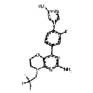 Cc1cn(-c2ccc(-c3nc(N)nc4c3OCCN4CC(F)(F)F)cc2F)cn1